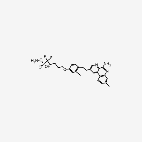 Cc1ccc2c(c1)nc(N)c1ncc(CCc3ccc(OCCCCC(F)(F)P(=O)(O)ON)cc3C)cc12